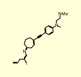 C=CC/C(I)=C\N=C1/CC=C(C#Cc2ccc(N(C)CCNC)cc2)CCC1